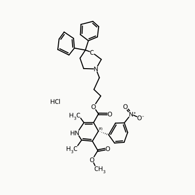 COC(=O)C1=C(C)NC(C)=C(C(=O)OCCCN2CCC(c3ccccc3)(c3ccccc3)CC2)[C@@H]1c1cccc([N+](=O)[O-])c1.Cl